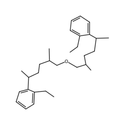 CCc1ccccc1C(C)CCC(C)COCC(C)CCC(C)c1ccccc1CC